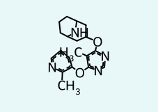 Cc1ncccc1Oc1ncnc(OC2CC3CCCC(C2)N3)c1C